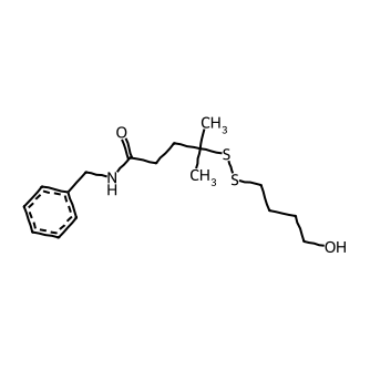 CC(C)(CCC(=O)NCc1ccccc1)SSCCCCO